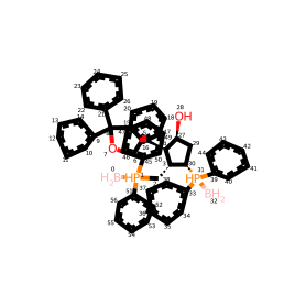 B[PH](C[C@@H]1[C@@H](CCOC(c2ccccc2)(c2ccccc2)c2ccccc2)[C@@H](O)C[C@@H]1[PH](B)(c1ccccc1)c1ccccc1)(c1ccccc1)c1ccccc1